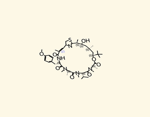 COc1ccc(C[C@@H]2NC(=O)/C(C)=C\C3CSC(=N3)[C@@H](C)[C@@H](O)C[C@H](C)C[C@@H](C(C)(C)C)OC(=O)[C@H](C)N(C)C(=O)[C@H](C(C)C)N(C)C(=O)[C@H](C)N(C)C2=O)cc1